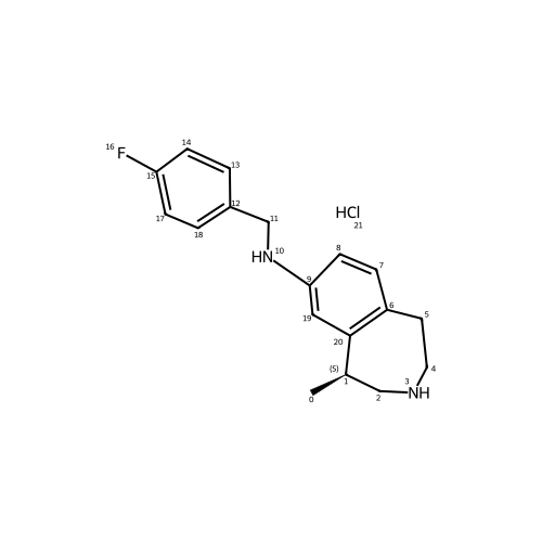 C[C@@H]1CNCCc2ccc(NCc3ccc(F)cc3)cc21.Cl